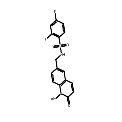 CCCn1c(=O)ccc2cc(CNS(=O)(=O)c3ccc(F)cc3F)ccc21